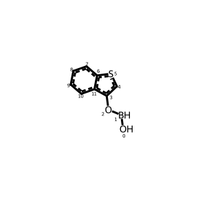 OBOc1csc2ccccc12